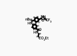 CCCC[C@H](Nc1ccc(C(=O)NCCC(=O)OCC)cc1)c1ccc(-c2nnc(C(F)(F)F)o2)cc1